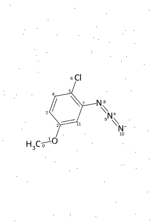 COc1ccc(Cl)c(N=[N+]=[N-])c1